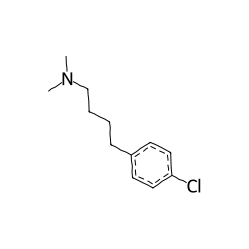 CN(C)CCCCc1ccc(Cl)cc1